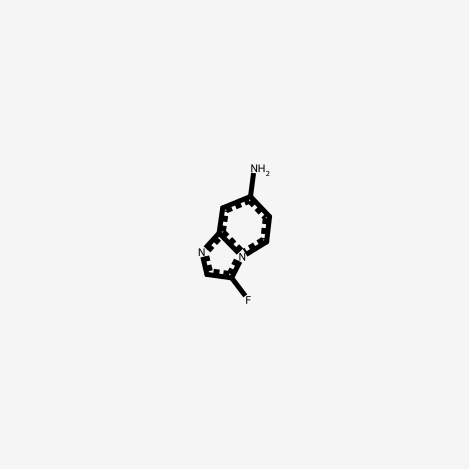 Nc1ccn2c(F)cnc2c1